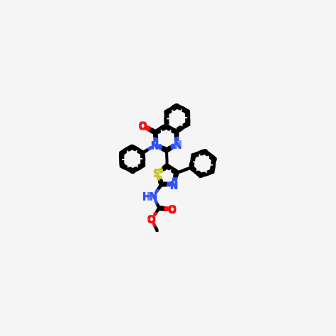 COC(=O)Nc1nc(-c2ccccc2)c(-c2nc3ccccc3c(=O)n2-c2ccccc2)s1